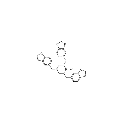 [CH2]C(=O)N1C(Cc2ccc3c(c2)OCO3)CN(Cc2ccc3c(c2)OCO3)CC1Cc1ccc2c(c1)OCO2